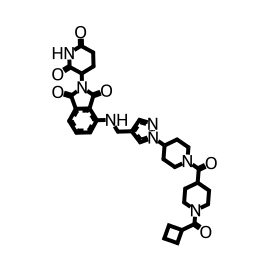 O=C1CCC(N2C(=O)c3cccc(NCc4cnn(C5CCN(C(=O)C6CCN(C(=O)C7CCC7)CC6)CC5)c4)c3C2=O)C(=O)N1